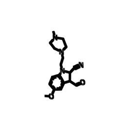 COc1ccc2c(c1)C(C=O)C(C#N)N2CCN1CCN(C)CC1